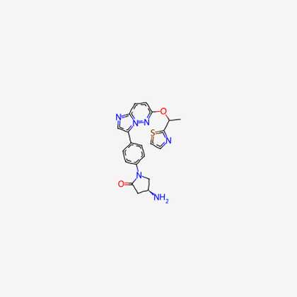 CC(Oc1ccc2ncc(-c3ccc(N4C[C@@H](N)CC4=O)cc3)n2n1)c1nccs1